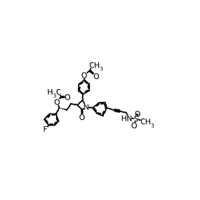 CC(=O)Oc1ccc(C2C(CC[C@H](OC(C)=O)c3ccc(F)cc3)C(=O)N2c2ccc(C#CCNS(C)(=O)=O)cc2)cc1